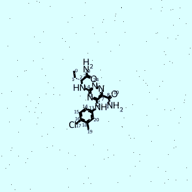 CC[C@@H](Nc1nnc(C(N)=O)c(Nc2ccc(Cl)c(C)c2)n1)C(N)=O